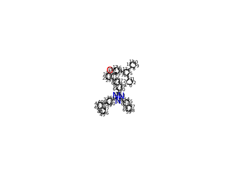 c1ccc(-c2cc(-c3ccccc3)cc(-c3ccc4oc5cccc(-c6ccc7ccc(-c8nc(-c9ccc(-c%10cccc%11ccccc%10%11)cc9)nc(-c9ccc%10ccccc%10c9)n8)cc7c6)c5c4c3)c2)cc1